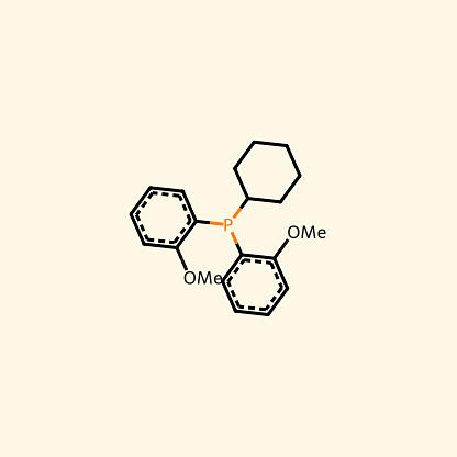 COc1ccccc1P(c1ccccc1OC)C1CCCCC1